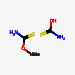 CNOC(N)=S.NC(O)=S